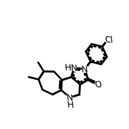 CC1CCC2=C(CC1C)c1[nH]n(-c3ccc(Cl)cc3)c(=O)c1CN2